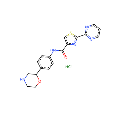 Cl.O=C(Nc1ccc(C2CNCCO2)cc1)c1csc(-c2ncccn2)n1